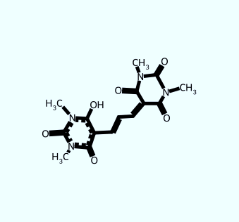 CN1C(=O)C(=CC=Cc2c(O)n(C)c(=O)n(C)c2=O)C(=O)N(C)C1=O